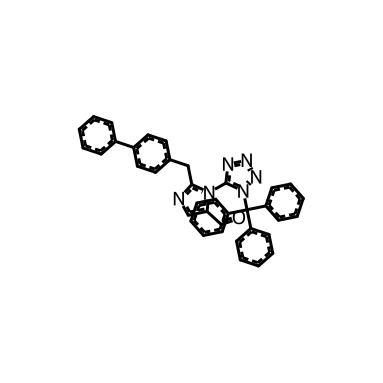 O=Cc1cnc(Cc2ccc(-c3ccccc3)cc2)n1-c1nnnn1C(c1ccccc1)(c1ccccc1)c1ccccc1